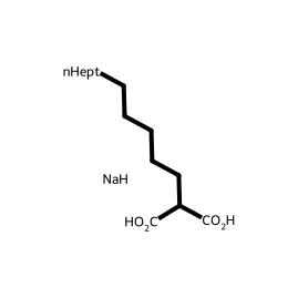 CCCCCCCCCCCCC(C(=O)O)C(=O)O.[NaH]